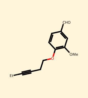 CCC#CCCOc1ccc(C=O)cc1OC